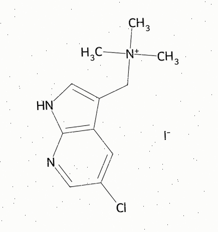 C[N+](C)(C)Cc1c[nH]c2ncc(Cl)cc12.[I-]